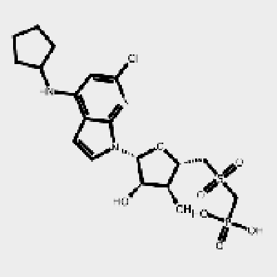 O=P(O)(O)CS(=O)(=O)C[C@H]1O[C@@H](n2ccc3c(NC4CCCC4)cc(Cl)nc32)[C@H](O)[C@@H]1O